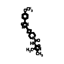 Cc1noc(NC(=O)N2CCC3(CC2)CC(c2noc(-c4ccc(OC(F)(F)F)cc4)n2)C3)c1C